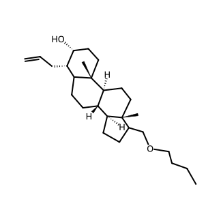 C=CC[C@H]1C2CC[C@@H]3[C@H](CC[C@]4(C)C(COCCCC)CC[C@@H]34)[C@@]2(C)CC[C@H]1O